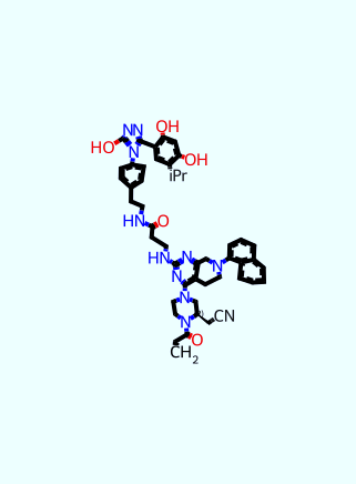 C=CC(=O)N1CCN(c2nc(NCCC(=O)NCCc3ccc(-n4c(O)nnc4-c4cc(C(C)C)c(O)cc4O)cc3)nc3c2CCN(c2cccc4ccccc24)C3)C[C@H]1CC#N